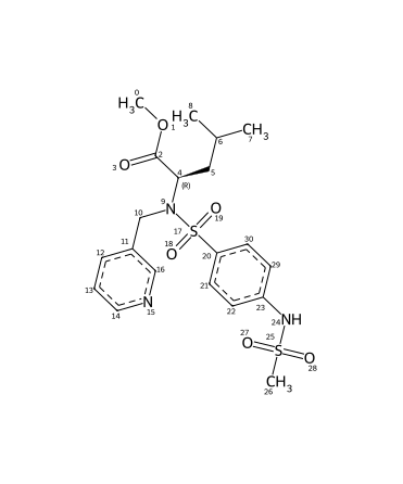 COC(=O)[C@@H](CC(C)C)N(Cc1cccnc1)S(=O)(=O)c1ccc(NS(C)(=O)=O)cc1